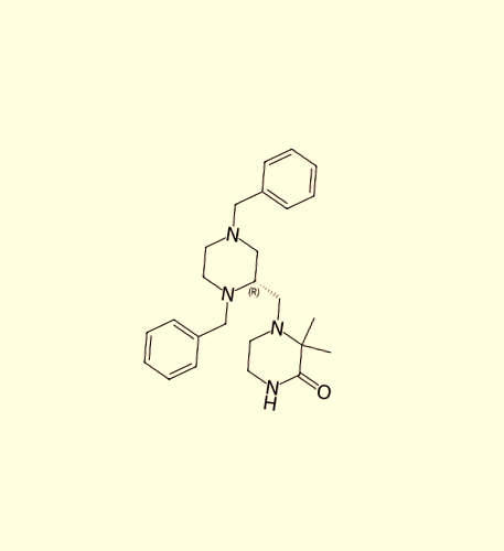 CC1(C)C(=O)NCCN1C[C@H]1CN(Cc2ccccc2)CCN1Cc1ccccc1